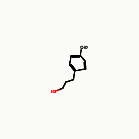 O=Cc1ccc(CCCO)cc1